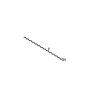 CCCCCCCCCCCCCCCCCC(F)CCCCCCCCCS